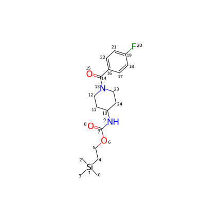 C[Si](C)(C)CCOC(=O)NC1CCN(C(=O)c2ccc(F)cc2)CC1